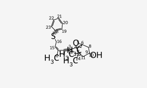 C/C(C#C[C@@]12O[C@]1(C)C[C@@H](O)CC2(C)C)=C/CSc1ccccc1